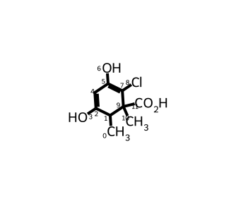 CC1C(O)=CC(O)=C(Cl)C1(C)C(=O)O